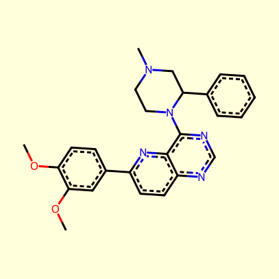 COc1ccc(-c2ccc3ncnc(N4CCN(C)CC4c4ccccc4)c3n2)cc1OC